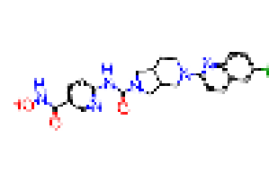 O=C(NO)c1ccc(NC(=O)N2CC3CCN(c4ccc5cc(Br)ccc5n4)CC3C2)nc1